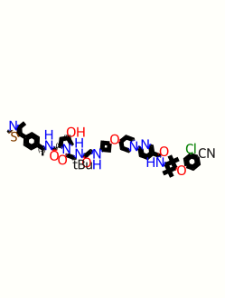 Cc1ncsc1-c1ccc([C@H](C)NC(=O)[C@@H]2C[C@@H](O)CN2C(=O)C(NC(=O)CNC2CC(OC3CCN(c4ccc(C(=O)NC5C(C)(C)C(Oc6ccc(C#N)c(Cl)c6)C5(C)C)cn4)CC3)C2)C(C)(C)C)cc1